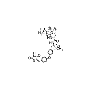 COC(C=O)(Cc1ccc(Oc2ccc(C=C3SC(=O)NC3=O)cc2)cc1)NC(=O)C(CCSC)NC(=O)OC(C)(C)C